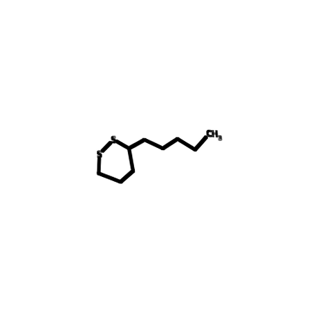 CCCCCC1CCCSS1